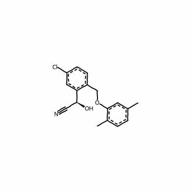 Cc1ccc(C)c(OCc2ccc(Cl)cc2[C@@H](O)C#N)c1